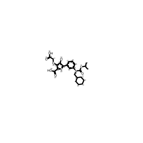 CC(C)OC(=O)N(CC1CCCCC1)c1cccc(-c2sc(C(=O)O)c(OCC(=O)O)c2Cl)c1